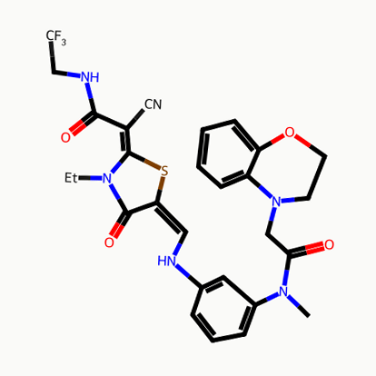 CCn1c(=C(C#N)C(=O)NCC(F)(F)F)sc(=CNc2cccc(N(C)C(=O)CN3CCOc4ccccc43)c2)c1=O